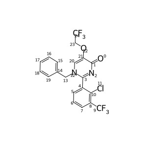 O=c1nc(-c2cccc(C(F)(F)F)c2Cl)n(Cc2ccccc2)cc1OCC(F)(F)F